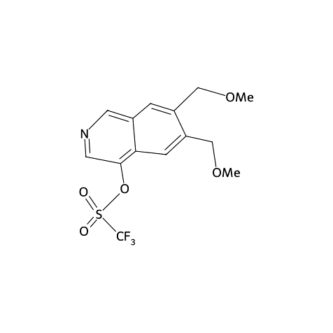 COCc1cc2cncc(OS(=O)(=O)C(F)(F)F)c2cc1COC